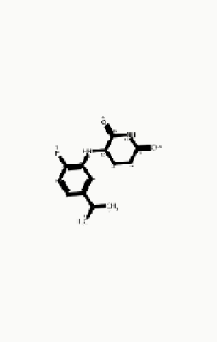 CC(C)c1ccc(F)c(NC2CCC(=O)NC2=O)c1